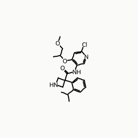 COCC(C)Oc1cc(Cl)ncc1NC(=O)C1(c2ccccc2C(C)C)CNC1